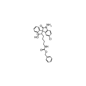 NN1C(=O)C(c2ccccc2Cl)(C(CO)CCCCNC(=O)OCc2ccccc2)c2cc(Cl)ccc21